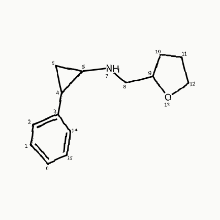 c1ccc(C2CC2NCC2CCCO2)cc1